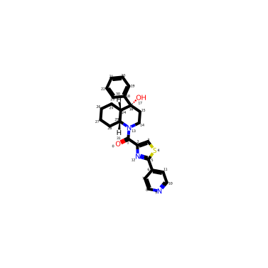 O=C(c1csc(-c2ccncc2)n1)N1CC[C@](O)(c2ccccc2)[C@H]2CCCC[C@H]21